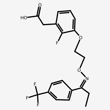 CCC(=NOCCOc1cccc(CC(=O)O)c1F)c1ccc(C(F)(F)F)cc1